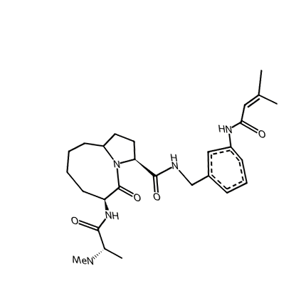 CN[C@@H](C)C(=O)N[C@H]1CCCCC2CC[C@@H](C(=O)NCc3cccc(NC(=O)C=C(C)C)c3)N2C1=O